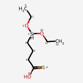 CCO[SiH](CCCC(O)=S)OCC